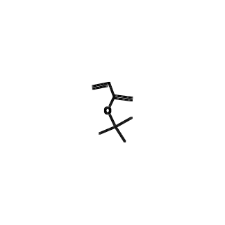 C=CC(=C)OC(C)(C)C